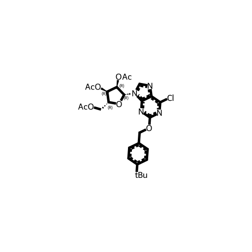 CC(=O)OC[C@H]1O[C@@H](n2cnc3c(Cl)nc(OCc4ccc(C(C)(C)C)cc4)nc32)[C@H](OC(C)=O)[C@@H]1OC(C)=O